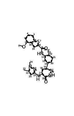 COc1cccc2sc(C(=O)Nc3cc(-c4cc(Nc5cc(C)n(C)n5)c(=O)[nH]n4)ccc3F)cc12